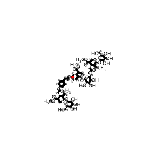 C/C=C1\[C@H](O[C@@H]2O[C@H](CO)[C@@H](O)[C@H](O)[C@H]2O)OC=C(C(=O)OC)[C@H]1CC(=O)OC[C@H]1O[C@@H](O[C@@H]2OC=C(C(=O)OC)[C@@H](CC(=O)OCCc3ccc(OC(=O)C[C@@H]4C(C(=O)OC)=CO[C@@H](O[C@@H]5O[C@H](CO)[C@@H](O)[C@H](O)[C@H]5O)/C4=C\C)cc3)/C2=C\C)[C@H](O)[C@@H](O)[C@@H]1O